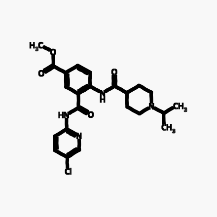 COC(=O)c1ccc(NC(=O)C2CCN(C(C)C)CC2)c(C(=O)Nc2ccc(Cl)cn2)c1